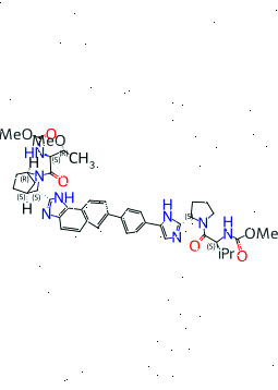 COC(=O)N[C@H](C(=O)N1CCC[C@H]1c1ncc(-c2ccc(-c3ccc4c(ccc5nc([C@@H]6[C@H]7CC[C@H](C7)N6C(=O)[C@@H](NC(=O)OC)[C@@H](C)OC)[nH]c54)c3)cc2)[nH]1)C(C)C